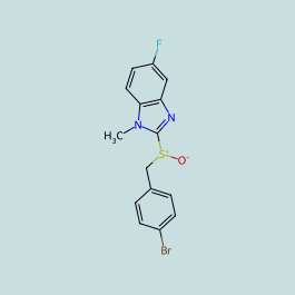 Cn1c([S+]([O-])Cc2ccc(Br)cc2)nc2cc(F)ccc21